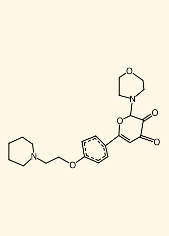 O=C1C=C(c2ccc(OCCN3CCCCC3)cc2)OC(N2CCOCC2)C1=O